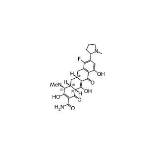 CN[C@@H]1C(O)=C(C(N)=O)C(=O)[C@H]2C(O)=C3C(=O)c4c(O)cc(C5CCCN5C)c(F)c4C[C@H]3C[C@H]21